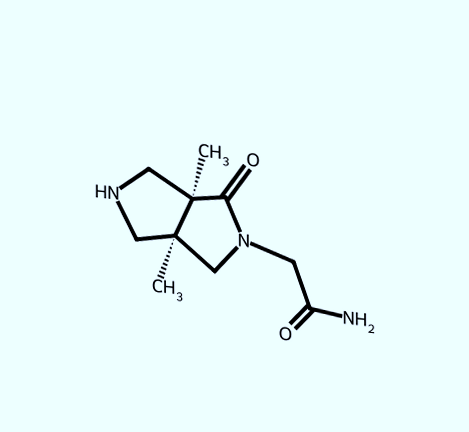 C[C@]12CNC[C@@]1(C)C(=O)N(CC(N)=O)C2